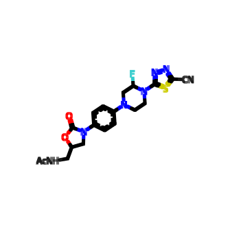 CC(=O)NCC1CN(c2ccc(N3CCN(c4nnc(C#N)s4)C(F)C3)cc2)C(=O)O1